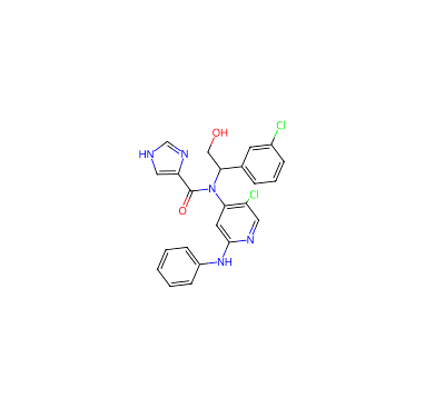 O=C(c1c[nH]cn1)N(c1cc(Nc2ccccc2)ncc1Cl)C(CO)c1cccc(Cl)c1